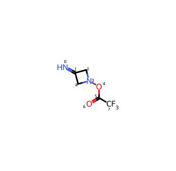 N=C1CN(OC(=O)C(F)(F)F)C1